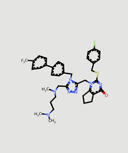 CN(C)CCCN(C)Cc1nnc(Cn2c(SCc3ccc(F)cc3)nc(=O)c3c2CCC3)n1Cc1ccc(-c2ccc(C(F)(F)F)cc2)cc1